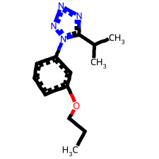 CCCOc1cccc(-n2nnnc2C(C)C)c1